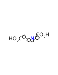 O=C(O)c1cccc(-c2ccc3ccc(-c4cccc(C(=O)O)c4)nc3c2)c1